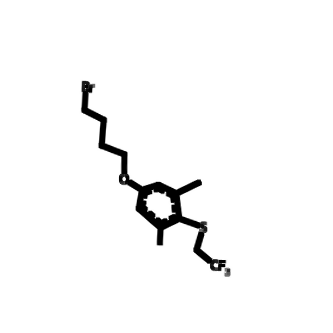 Cc1cc(OCCCCBr)cc(C)c1SCC(F)(F)F